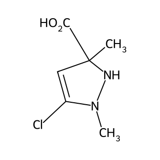 CN1NC(C)(C(=O)O)C=C1Cl